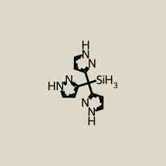 [SiH3]C(c1cc[nH]n1)(c1cc[nH]n1)c1cc[nH]n1